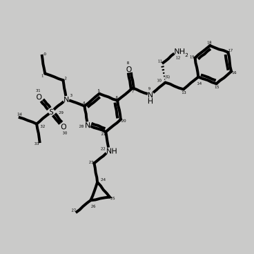 CCCN(c1cc(C(=O)N[C@H](CN)Cc2ccccc2)cc(NCC2CC2C)n1)S(=O)(=O)C(C)C